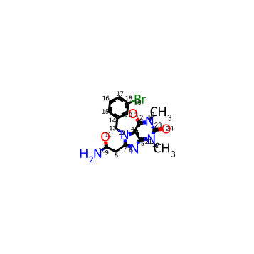 Cn1c(=O)c2c(nc(CC(N)=O)n2Cc2cccc(Br)c2)n(C)c1=O